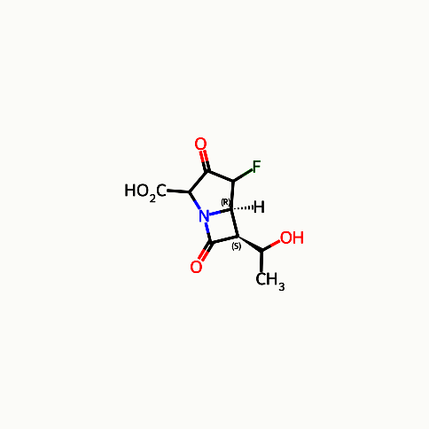 CC(O)[C@H]1C(=O)N2C(C(=O)O)C(=O)C(F)[C@@H]12